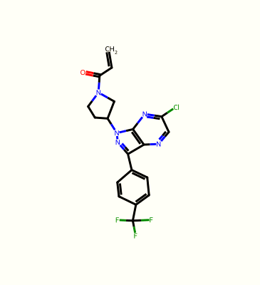 C=CC(=O)N1CCC(n2nc(-c3ccc(C(F)(F)F)cc3)c3ncc(Cl)nc32)C1